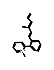 C=C/C=C(C)/C=C/c1ccccc1-c1cccc[n+]1C